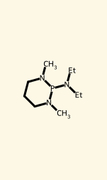 CCN(CC)P1N(C)CCCN1C